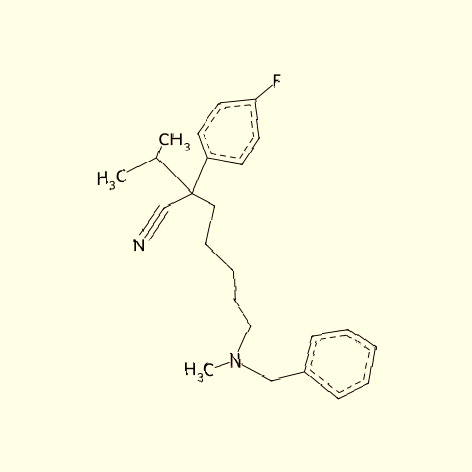 CC(C)C(C#N)(CCCCCN(C)Cc1ccccc1)c1ccc(F)cc1